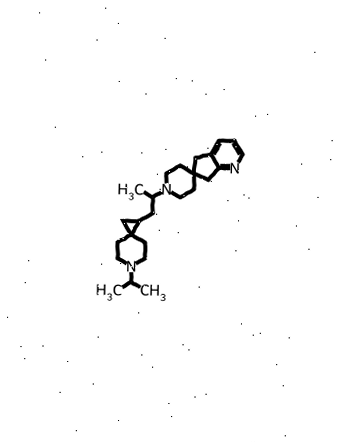 CC(C)N1CCC2(CC1)CC2CC(C)N1CCC2(CC1)Cc1cccnc1C2